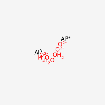 O.O.O.[Al+3].[Al+3].[O-2].[O-2].[O-2]